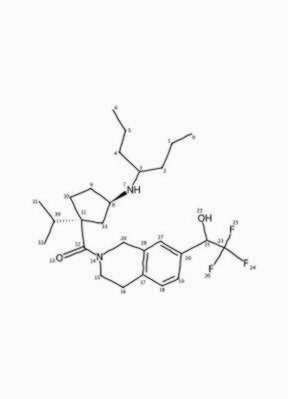 CCCC(CCC)N[C@@H]1CC[C@@](C(=O)N2CCc3ccc(C(O)C(F)(F)F)cc3C2)(C(C)C)C1